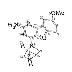 COc1ccc2oc3c(N4CC5NC[C@H]54)nc(N)nc3c2c1